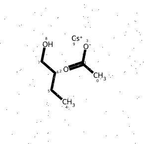 CC(=O)[O-].CCCCO.[Cs+]